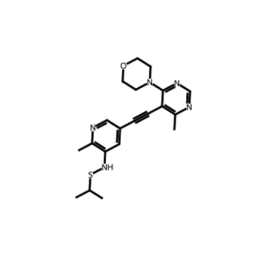 Cc1ncc(C#Cc2c(C)ncnc2N2CCOCC2)cc1NSC(C)C